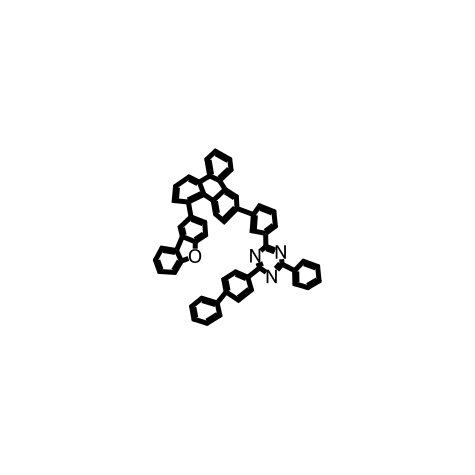 c1ccc(-c2ccc(-c3nc(-c4ccccc4)nc(-c4cccc(-c5ccc6c(c5)c5ccccc5c5cccc(-c7ccc8oc9ccccc9c8c7)c56)c4)n3)cc2)cc1